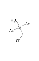 CC(=O)[Si](C)(CCl)C(C)=O